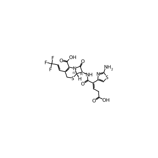 Nc1nc(C(=CCC(=O)O)C(=O)N[C@@H]2C(=O)N3C(C(=O)O)=C(C=CC(F)(F)F)CS[C@@H]23)cs1